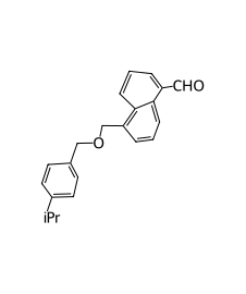 CC(C)c1ccc(COCc2cccc3c(C=O)cccc23)cc1